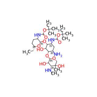 CC[C@@H]1CCC(NC(=O)OC(C)(C)C)[C@@H](OC2C(O)C(O[C@H]3OCC(C)(O)[C@H](NC)C3O)[C@H](N)C[C@@H]2NC(=O)OC(C)(C)C)O1